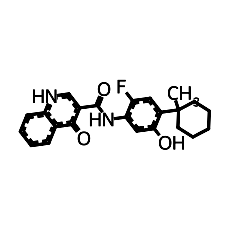 CC1(c2cc(F)c(NC(=O)c3c[nH]c4ccccc4c3=O)cc2O)CCCCC1